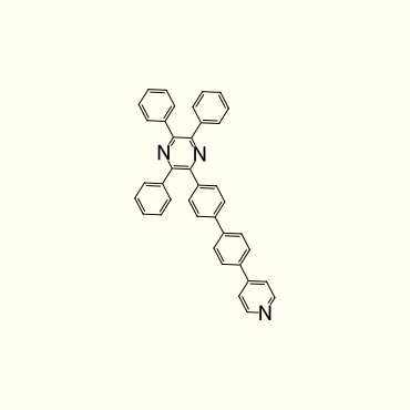 c1ccc(-c2nc(-c3ccccc3)c(-c3ccc(-c4ccc(-c5ccncc5)cc4)cc3)nc2-c2ccccc2)cc1